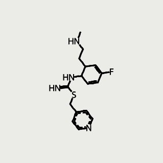 CNCCC1C=C(F)C=CC1NC(=N)SCc1ccncc1